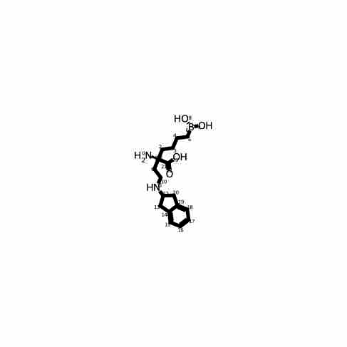 N[C@](CCCCB(O)O)(CCNC1Cc2ccccc2C1)C(=O)O